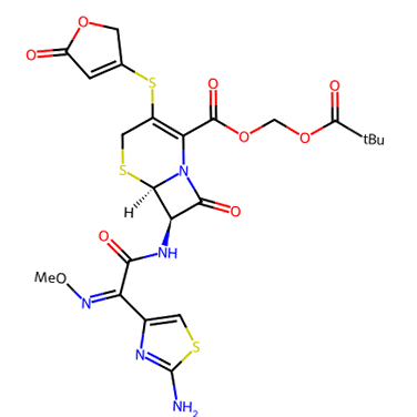 CO/N=C(\C(=O)N[C@@H]1C(=O)N2C(C(=O)OCOC(=O)C(C)(C)C)=C(SC3=CC(=O)OC3)CS[C@H]12)c1csc(N)n1